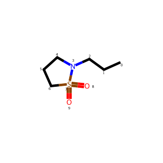 CCCN1CCCS1(=O)=O